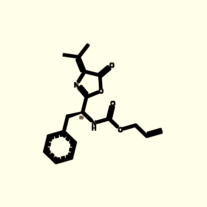 C=CCOC(=O)N[C@@H](Cc1ccccc1)C1=NC(=C(C)C)C(=O)O1